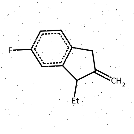 C=C1Cc2ccc(F)cc2C1CC